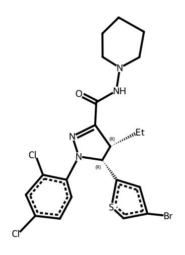 CC[C@H]1C(C(=O)NN2CCCCC2)=NN(c2ccc(Cl)cc2Cl)[C@H]1c1cc(Br)cs1